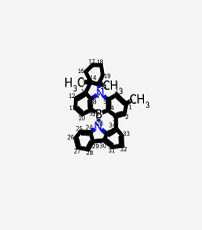 Cc1cc2c3c(c1)N1c4c(cccc4C4(C)CCCCC14C)B3n1c3ccccc3c3cccc-2c31